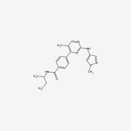 CCC(C)NC(=O)c1ccc(-c2nc(Nc3cnn(C)c3)ncc2C)cc1